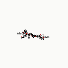 COC(=O)N[C@H](C(=O)N1CCC[C@H]1c1ncc(-c2ccc3c(c2)COc2cc4c(ccc5nc([C@@H]6C[C@@H](COCC7CCC7)CN6C(=O)[C@H](NC(=O)OC)c6ccccc6)[nH]c54)cc2-3)[nH]1)C(C)C